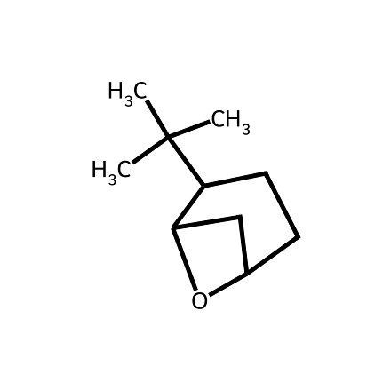 CC(C)(C)C1CCC2CC1O2